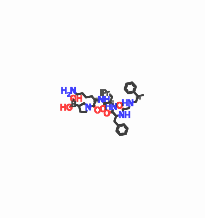 CC(C)C[C@@H](NC(=O)C(Cc1ccccc1)NC(=O)CNC[C@H](C)c1ccccc1)C(=O)N[C@H](CCCCN)C(=O)N1CCC(B(O)O)C1